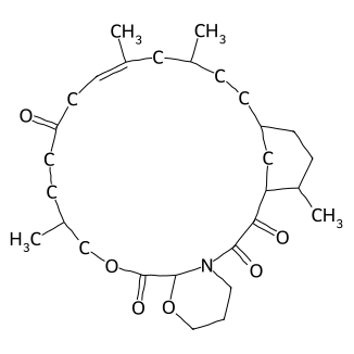 CC1=CCC(=O)CCC(C)COC(=O)C2OCCCN2C(=O)C(=O)C2CC(CCC(C)C1)CCC2C